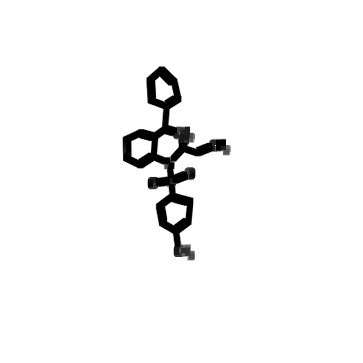 C=CC(=O)N(c1ccccc1C(=C)c1ccccc1)S(=O)(=O)c1ccc(C)cc1